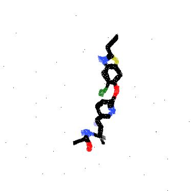 CCc1nc2cc(Cl)c(Oc3ccc(/C=C/[C@H](C)NC(C)=O)cn3)cc2s1